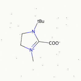 C[N+]1=C(C(=O)[O-])N(C(C)(C)C)CC1